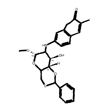 CO[C@H]1OC2COC(c3ccccc3)O[C@H]2[C@H](O)C1Nc1ccc2c(c1)CC(=O)C(I)=C2